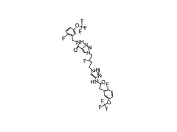 O=C(Cc1cc(OC(F)(F)F)ccc1F)Nc1cn(CCC(F)Cn2cc(C(=O)NCc3cc(OC(F)(F)F)ccc3F)nn2)nn1